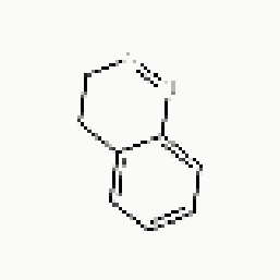 [CH]1CN=Nc2ccccc21